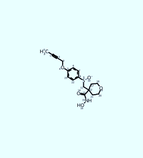 CC#CCOc1ccc([S+]([O-])CC2(C(=O)NO)CCOCC2)cc1